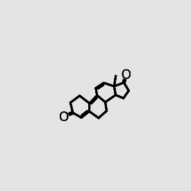 CC12C=CC3=C4CCC(=O)C=C4CCC3C1CCC2=O